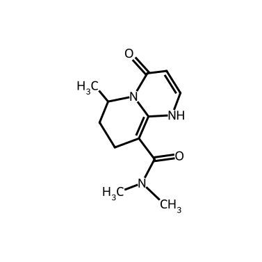 CC1CCC(C(=O)N(C)C)=C2NC=CC(=O)N21